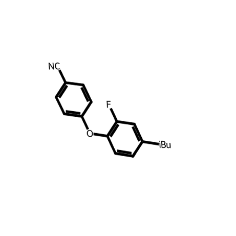 CCC(C)c1ccc(Oc2ccc(C#N)cc2)c(F)c1